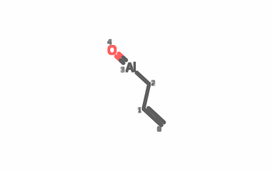 C=C[CH2][Al]=[O]